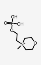 C[N+]1(CCOP(=O)(O)O)CCOCC1